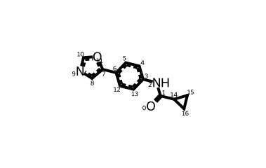 O=C(Nc1ccc(-c2cnco2)cc1)C1CC1